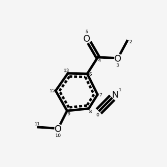 C#N.COC(=O)c1ccc(OC)cc1